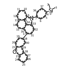 C[Si](C)(C)c1ccc(-n2c3cccc4ccc5c(-c6ccc7oc8ccccc8c7c6)ccc2c5c43)cc1